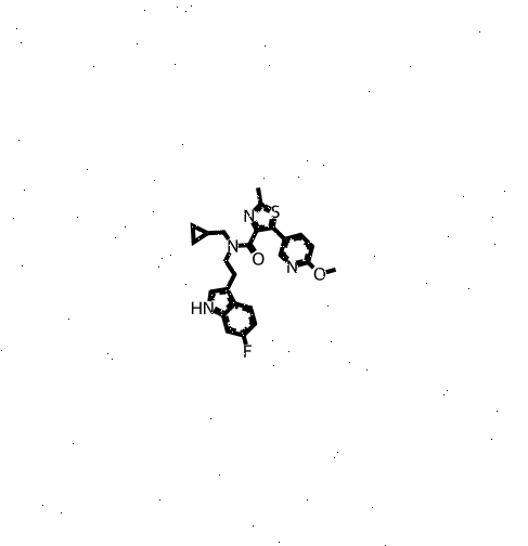 COc1ccc(-c2sc(C)nc2C(=O)N(CCc2c[nH]c3cc(F)ccc23)CC2CC2)cn1